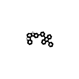 c1ccc(-c2c3ccccc3c(-c3cccc(-c4ccc5c(c4)sc4ccc6sc7ccccc7c6c45)c3)c3ccccc23)cc1